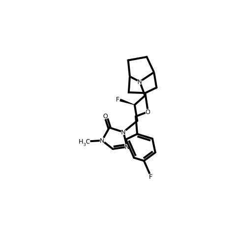 Cn1cnn(C[C@@H](F)CN2C3CCC2CC(OCc2ccc(F)cc2)C3)c1=O